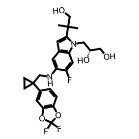 CC(C)(CO)c1cc2cc(NCC3(c4ccc5c(c4)OC(F)(F)O5)CC3)c(F)cc2n1C[C@@H](O)CO